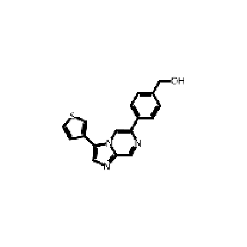 OCc1ccc(-c2cn3c(-c4ccsc4)cnc3cn2)cc1